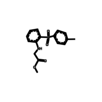 COC(=O)CNc1ccccc1S(=O)(=O)c1ccc(C)cc1